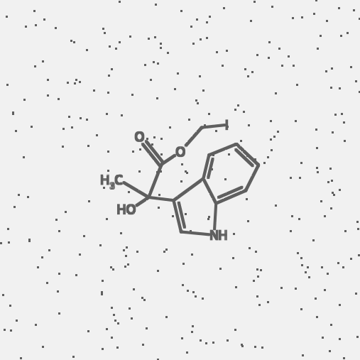 CC(O)(C(=O)OCI)c1c[nH]c2ccccc12